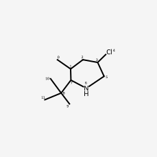 CC1CC(Cl)CNC1C(C)(C)C